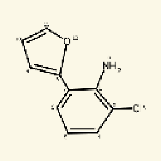 Nc1c(Cl)cccc1-c1ccco1